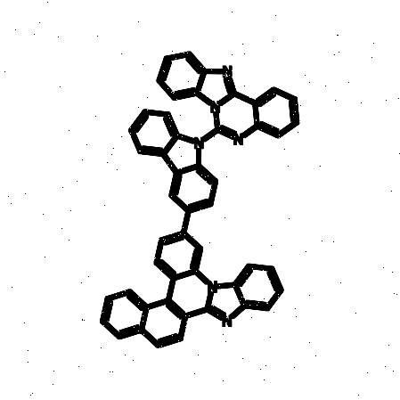 c1ccc2c(c1)ccc1c2c2ccc(-c3ccc4c(c3)c3ccccc3n4-c3nc4ccccc4c4nc5ccccc5n34)cc2n2c3ccccc3nc12